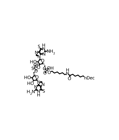 CCCCCCCCCCCCCCCC(=O)NCCCCCCOP(=O)(O)OC[C@H]1O[C@@H](n2cnc3c(=S)[nH]c(N)nc32)C(O)C1OP(O)(=S)OC[C@H]1O[C@@H](n2cnc3c(=S)[nH]c(N)nc32)C(O)C1O